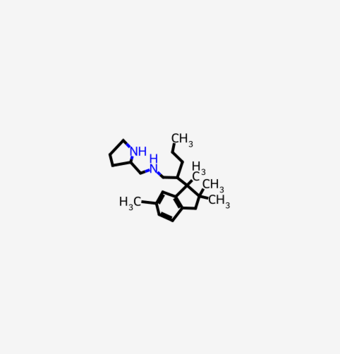 CCCC(CNCC1CCCN1)C1(C)c2cc(C)ccc2CC1(C)C